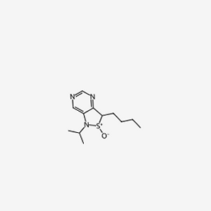 CCCCC1c2ncncc2N(C(C)C)[S+]1[O-]